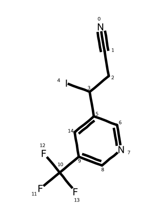 N#CCC(I)c1cncc(C(F)(F)F)c1